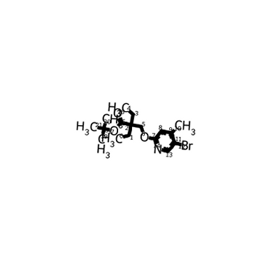 CCC(CC)(COc1cc(C)c(Br)cn1)C(=O)OC(C)(C)C